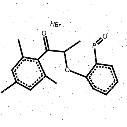 Br.Cc1cc(C)c(C(=O)C(C)Oc2ccccc2P=O)c(C)c1